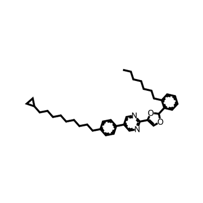 CCCCCCCc1ccccc1C1OC=C(c2ncc(-c3ccc(CCCCCCCCCC4CC4)cc3)cn2)O1